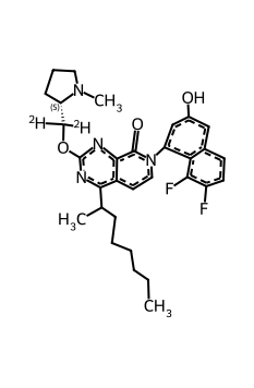 [2H]C([2H])(Oc1nc(C(C)CCCCCC)c2ccn(-c3cc(O)cc4ccc(F)c(F)c34)c(=O)c2n1)[C@@H]1CCCN1C